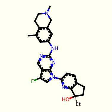 CC[C@@]1(O)CCc2ccc(-n3cc(F)c4cnc(Nc5cc(C)c6c(c5)CN(C)CC6)nc43)nc21